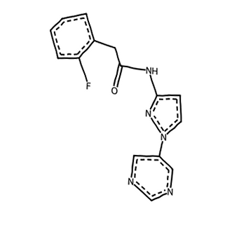 O=C(Cc1ccccc1F)Nc1ccn(-c2cncnc2)n1